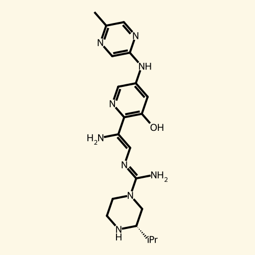 Cc1cnc(Nc2cnc(/C(N)=C/N=C(\N)N3CCN[C@@H](C(C)C)C3)c(O)c2)cn1